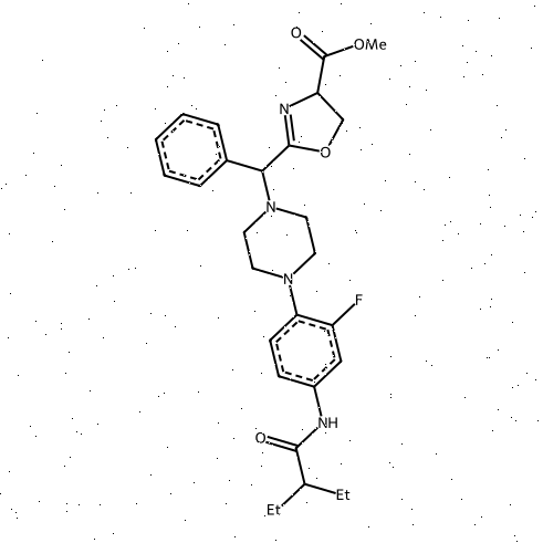 CCC(CC)C(=O)Nc1ccc(N2CCN(C(C3=NC(C(=O)OC)CO3)c3ccccc3)CC2)c(F)c1